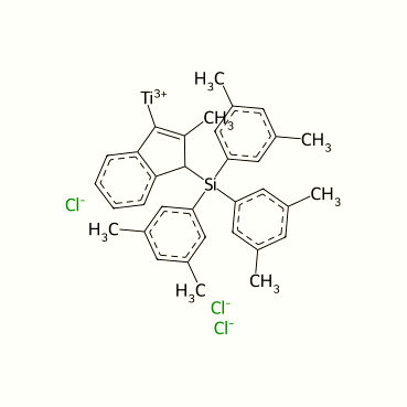 CC1=[C]([Ti+3])c2ccccc2C1[Si](c1cc(C)cc(C)c1)(c1cc(C)cc(C)c1)c1cc(C)cc(C)c1.[Cl-].[Cl-].[Cl-]